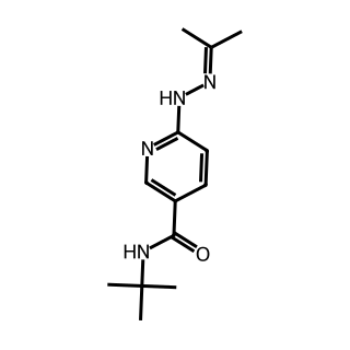 CC(C)=NNc1ccc(C(=O)NC(C)(C)C)cn1